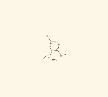 CC[C@@H](N)c1cc(F)cnc1OC